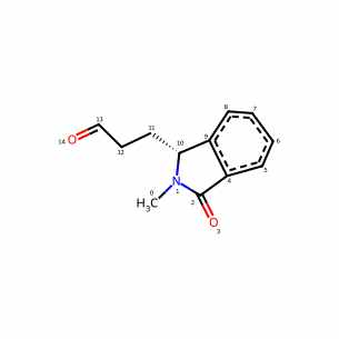 CN1C(=O)c2ccccc2[C@H]1CCC=O